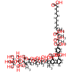 CC(=O)O.CC(=O)O.CC(=O)O.CC(=O)O.CC(=O)O.CC(C)C(=O)O.CCCCCCCCCCCC(=O)O.O=C(O)c1ccccc1.O=C(O)c1ccccc1.O=C(O)c1ccccc1.OCC(O)CO.OCC(O)CO.OCC(O)CO